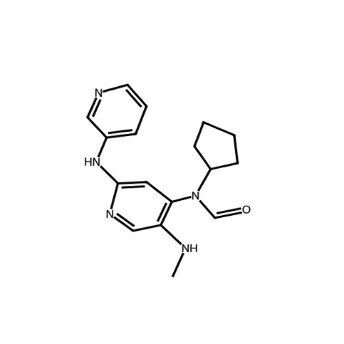 CNc1cnc(Nc2cccnc2)cc1N(C=O)C1CCCC1